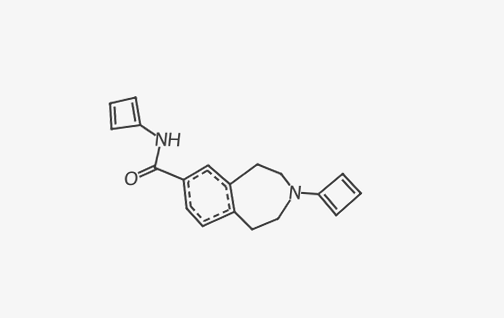 O=C(NC1=CC=C1)c1ccc2c(c1)CCN(C1=CC=C1)CC2